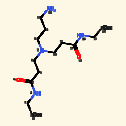 CCCCCCCCCCCNC(=O)CCN(CCCN)CCC(=O)NCCCCCCCCCCC